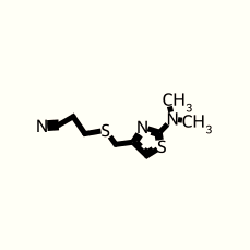 CN(C)c1nc(CSCCC#N)cs1